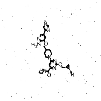 CCNC(=O)c1cc(N2CCC(COc3cc(-c4cn(C)cn4)cnc3N)CC2)nc(OC[C@H]2C[C@H]2C#N)n1